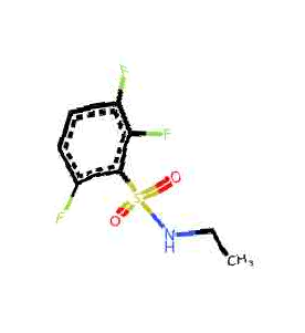 CCNS(=O)(=O)c1c(F)ccc(F)c1F